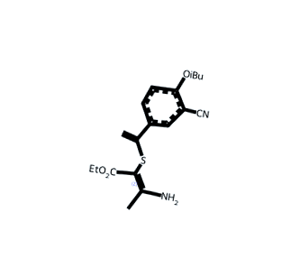 C=C(S/C(C(=O)OCC)=C(/C)N)c1ccc(OCC(C)C)c(C#N)c1